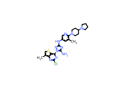 Cc1cc(Nc2nc(N)n(-c3nc(Cl)nc4c(C)csc34)n2)cnc1N1CCC(N2CCCC2)CC1